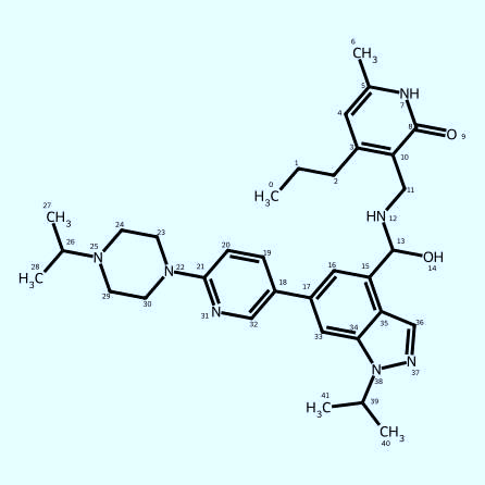 CCCc1cc(C)[nH]c(=O)c1CNC(O)c1cc(-c2ccc(N3CCN(C(C)C)CC3)nc2)cc2c1cnn2C(C)C